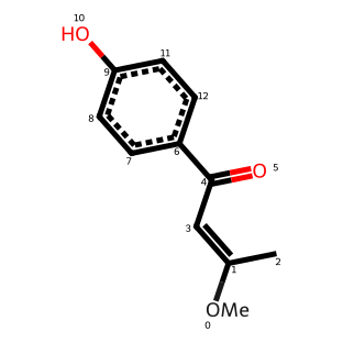 COC(C)=CC(=O)c1ccc(O)cc1